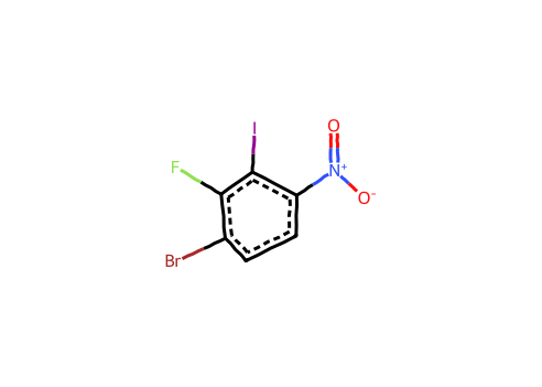 O=[N+]([O-])c1ccc(Br)c(F)c1I